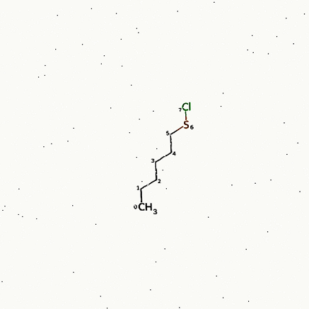 CCCCCCSCl